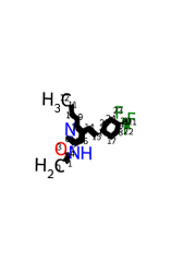 C=CC(=O)Nc1cnc(CCCC)c(/C=C/[C@H]2CC[C@H](C(F)(F)F)CC2)c1